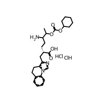 CC(OC(=O)OC1CCCCC1)C(N)CC[C@@H](Cc1ncn2c1CCc1ccccc1-2)C(=O)O.Cl.Cl